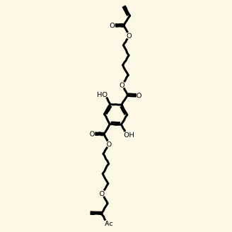 C=CC(=O)OCCCCOC(=O)c1cc(O)c(C(=O)OCCCCOCC(=C)C(C)=O)cc1O